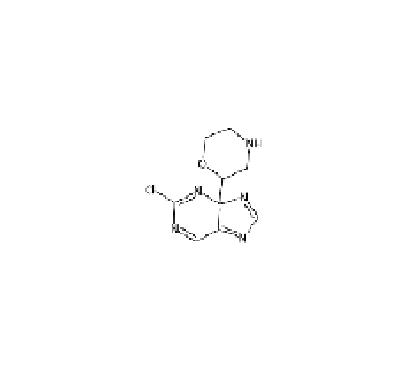 ClC1=NC2(C3CNCCO3)N=CN=C2C=N1